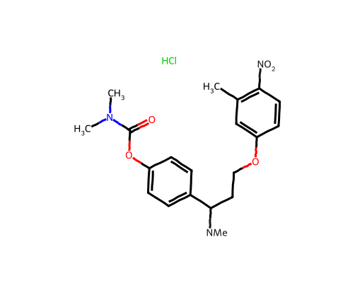 CNC(CCOc1ccc([N+](=O)[O-])c(C)c1)c1ccc(OC(=O)N(C)C)cc1.Cl